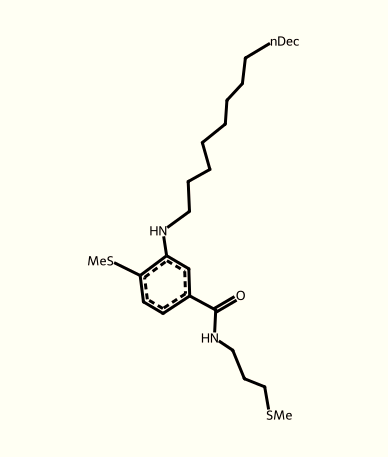 CCCCCCCCCCCCCCCCCCNc1cc(C(=O)NCCCSC)ccc1SC